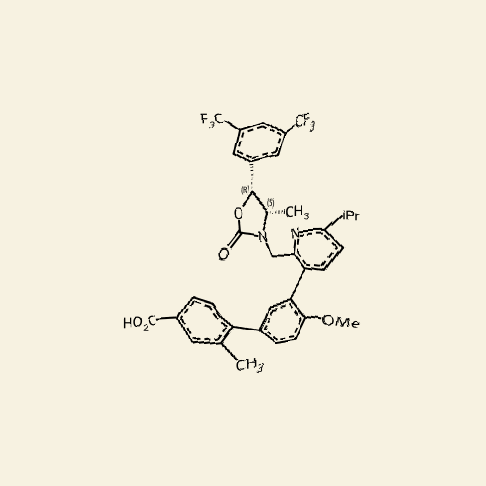 COc1ccc(-c2ccc(C(=O)O)cc2C)cc1-c1ccc(C(C)C)nc1CN1C(=O)O[C@H](c2cc(C(F)(F)F)cc(C(F)(F)F)c2)[C@@H]1C